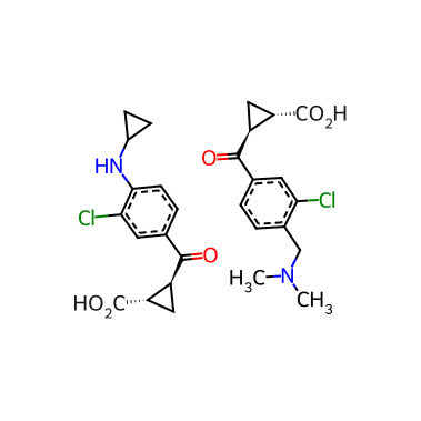 CN(C)Cc1ccc(C(=O)[C@H]2C[C@@H]2C(=O)O)cc1Cl.O=C(O)[C@H]1C[C@@H]1C(=O)c1ccc(NC2CC2)c(Cl)c1